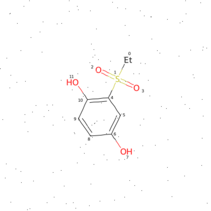 CCS(=O)(=O)c1cc(O)ccc1O